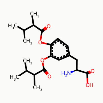 CC(C)C(C)C(=O)Oc1ccc(C[C@H](N)C(=O)O)cc1OC(=O)C(C)C(C)C